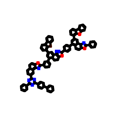 c1ccc(-c2ccc(-c3nc(-c4ccccc4)nc(-c4ccc5ccc6oc(-c7cccc(-c8cc(-c9cccc%10c9sc9ccccc9%10)cc9c%10c(ccc89)OC(c8ccc(-c9cc(-c%11cccc%12c%11oc%11ccccc%11%12)cc%11c9ccc9oc(-c%12ccccc%12)nc9%11)cc8)N%10)c7)nc6c5c4)n3)cc2)cc1